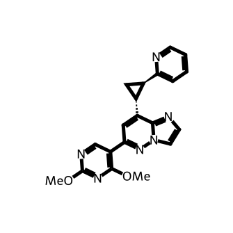 COc1ncc(-c2cc([C@@H]3C[C@H]3c3ccccn3)c3nccn3n2)c(OC)n1